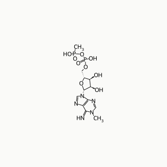 Cn1cnc2c(ncn2[C@@H]2O[C@H](COP(=O)(O)OP(C)(=O)O)[C@@H](O)[C@H]2O)c1=N